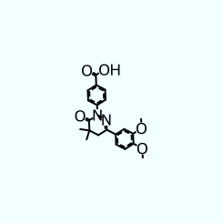 COc1ccc(C2=NN(c3ccc(C(=O)O)cc3)C(=O)C(C)(C)C2)cc1OC